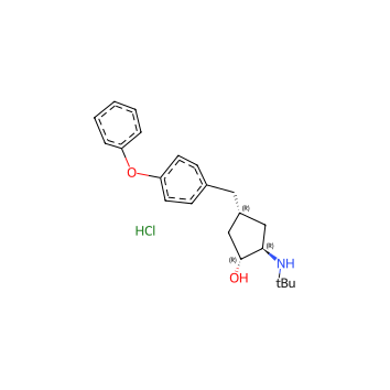 CC(C)(C)N[C@@H]1C[C@@H](Cc2ccc(Oc3ccccc3)cc2)C[C@H]1O.Cl